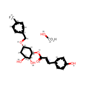 O=C(/C=C/c1ccc(O)cc1)O[C@@H]1C[C@@H](OCc2ccc(C(F)(F)F)cc2)C[C@H](O)[C@H]1O.O=C(O)O